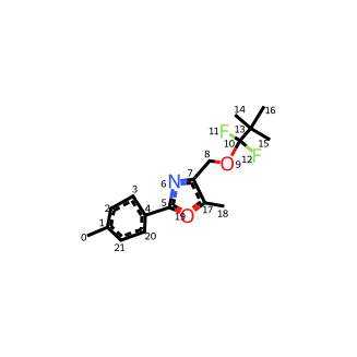 Cc1ccc(-c2nc(COC(F)(F)C(C)(C)C)c(C)o2)cc1